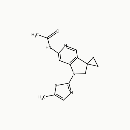 CC(=O)Nc1cc2c(cn1)C1(CC1)CN2c1ncc(C)s1